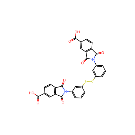 O=C(O)c1ccc2c(c1)C(=O)N(c1cccc(SSc3cccc(N4C(=O)c5ccc(C(=O)O)cc5C4=O)c3)c1)C2=O